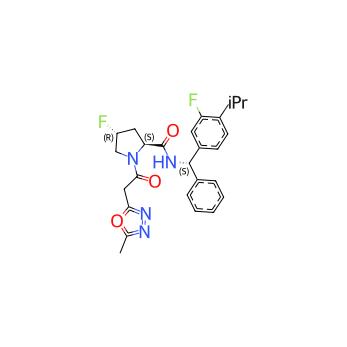 Cc1nnc(CC(=O)N2C[C@H](F)C[C@H]2C(=O)N[C@@H](c2ccccc2)c2ccc(C(C)C)c(F)c2)o1